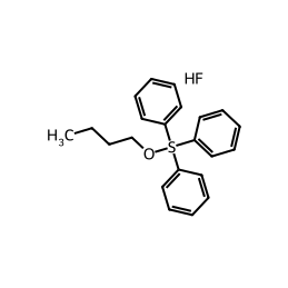 CCCCOS(c1ccccc1)(c1ccccc1)c1ccccc1.F